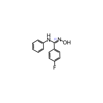 O/N=C(/Nc1ccccc1)c1ccc(F)cc1